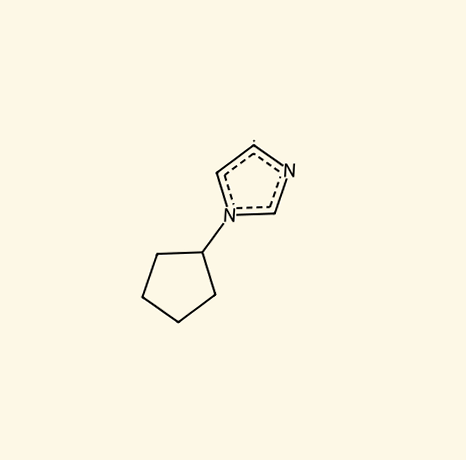 [c]1cn(C2CCCC2)cn1